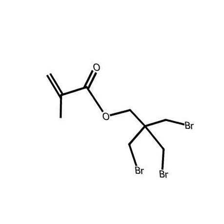 C=C(C)C(=O)OCC(CBr)(CBr)CBr